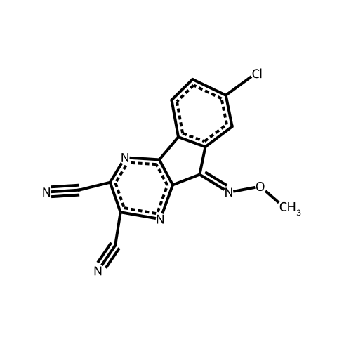 CO/N=C1\c2cc(Cl)ccc2-c2nc(C#N)c(C#N)nc21